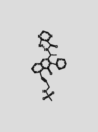 CC(NC(=O)c1nccnc1N)c1cc2cccc(C#CCNS(C)(=O)=O)c2c(=O)n1-c1ccccc1